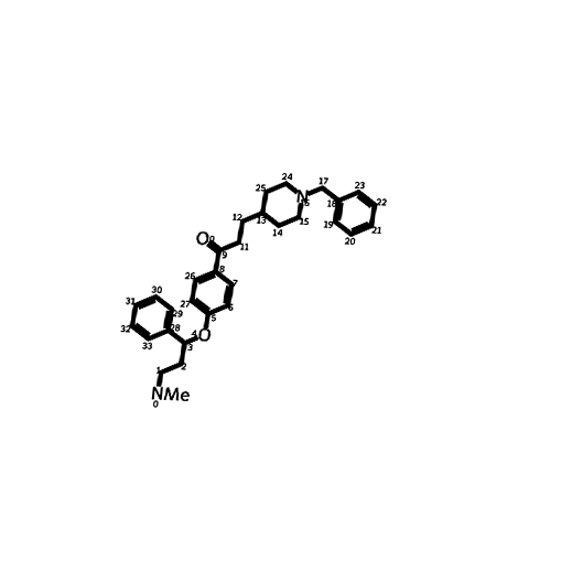 CNCCC(Oc1ccc(C(=O)CCC2CCN(Cc3ccccc3)CC2)cc1)c1ccccc1